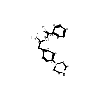 CC(Cc1ccc(N2CCOCC2)cc1)NC(=O)c1ccccc1